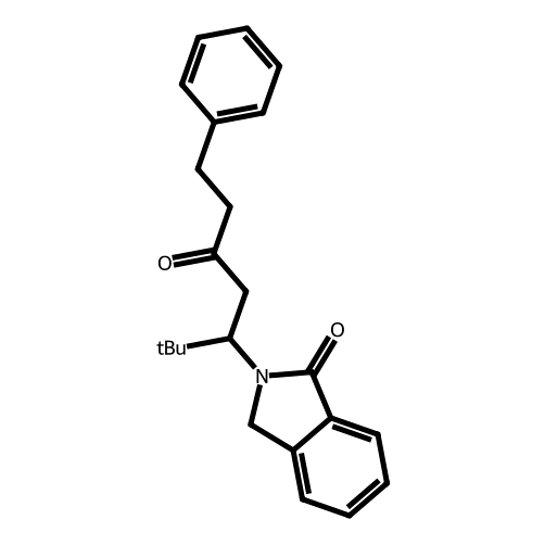 CC(C)(C)C(CC(=O)CCc1ccccc1)N1Cc2ccccc2C1=O